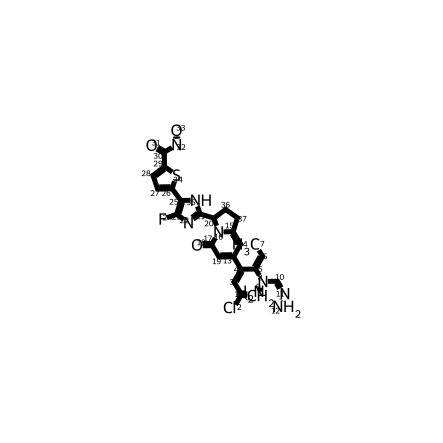 C=C(Cl)/C=C(\C(=C/C)N(N)/C=N\N)c1cc2n(c(=O)c1)C(c1nc(F)c(-c3ccc(C(=O)N=O)s3)[nH]1)CC2